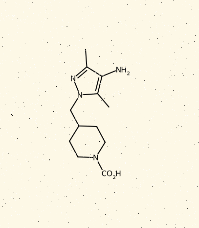 Cc1nn(CC2CCN(C(=O)O)CC2)c(C)c1N